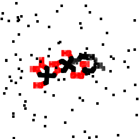 C=CCCC.CCC(=O)O.OCC(CO)(CO)COCC(CO)(CO)CO